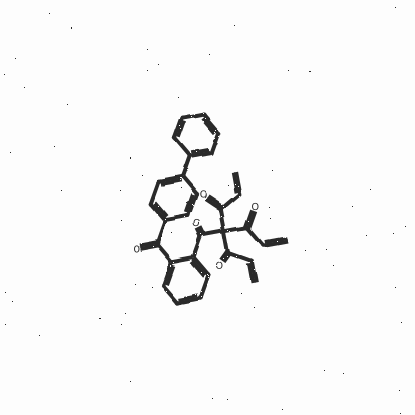 C=CC(=O)C(C(=O)C=C)(C(=O)C=C)C(=O)c1ccccc1C(=O)c1ccc(-c2ccccc2)cc1